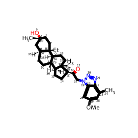 CC[C@]12CC[C@@](C)(O)C[C@@H]1CC[C@H]1[C@@H]3CC[C@H](C(=O)Cn4nnc5c(C)cc(OC)cc54)[C@@]3(C)CC[C@@H]12